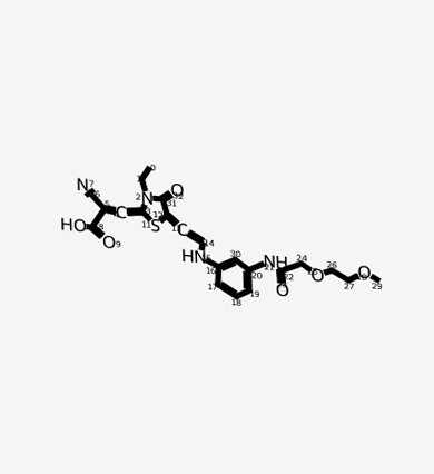 CCn1c(=C=C(C#N)C(=O)O)sc(=C=CNc2cccc(NC(=O)COCCOC)c2)c1=O